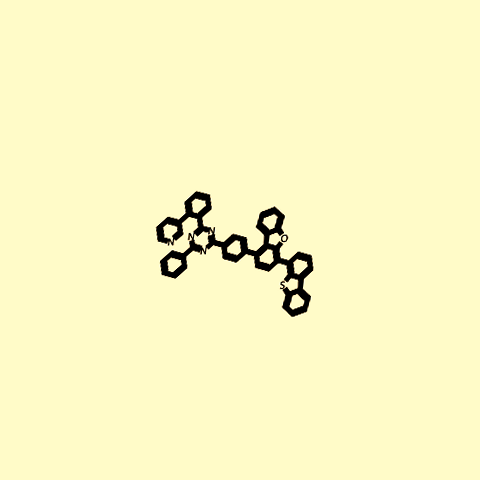 c1ccc(-c2nc(-c3ccc(-c4ccc(-c5cccc6c5sc5ccccc56)c5oc6ccccc6c45)cc3)nc(-c3ccccc3-c3cccnc3)n2)cc1